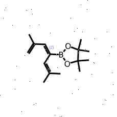 C=C(C)/C=C(\C=C(C)C)B1OC(C)(C)C(C)(C)O1